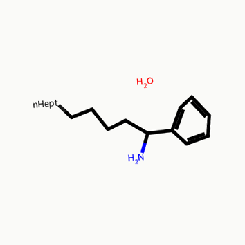 CCCCCCCCCCCC(N)c1ccccc1.O